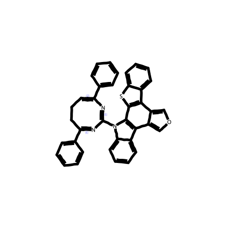 C1=C(c2ccccc2)/N=C(n2c3ccccc3c3c4cocc4c4c5ccccc5sc4c32)\N=C(\c2ccccc2)CC\1